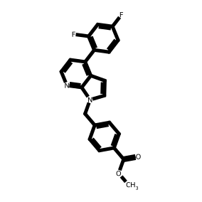 COC(=O)c1ccc(Cn2ccc3c(-c4ccc(F)cc4F)ccnc32)cc1